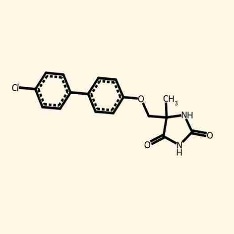 CC1(COc2ccc(-c3ccc(Cl)cc3)cc2)NC(=O)NC1=O